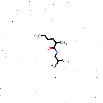 CCCCC(C)C(=O)NCC(C)C